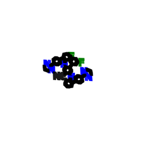 N#Cc1cc(-n2c3ccccc3c3ccc(-c4ncccn4)cc32)c(-c2cc(F)cc(F)c2)cc1-n1c2ccccc2c2ccc(-c3ncccn3)cc21